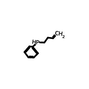 C=CCCPc1ccccc1